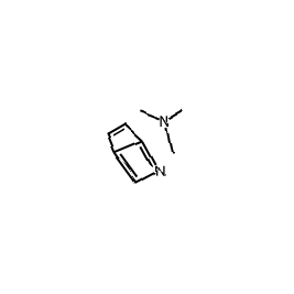 CN(C)C.c1cc2ncc1-2